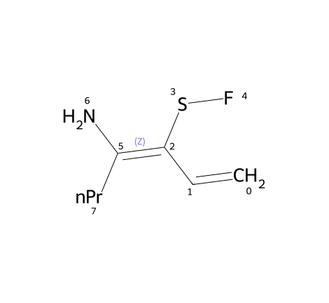 C=C/C(SF)=C(/N)CCC